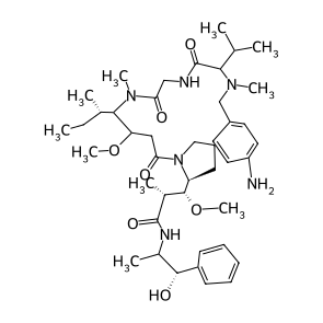 CC[C@H](C)C(C(CC(=O)N1CCC[C@H]1[C@H](OC)[C@@H](C)C(=O)NC(C)[C@@H](O)c1ccccc1)OC)N(C)C(=O)CNC(=O)C(C(C)C)N(C)Cc1ccc(N)cc1